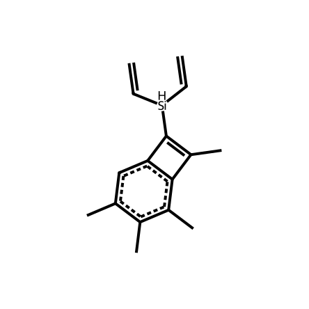 C=C[SiH](C=C)C1=C(C)c2c1cc(C)c(C)c2C